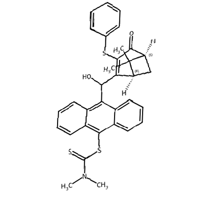 CN(C)C(=S)Sc1c2ccccc2c(C(O)C2=C(Sc3ccccc3)C(=O)[C@H]3C[C@@H]2C3(C)C)c2ccccc12